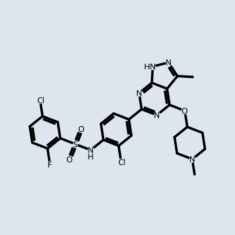 Cc1n[nH]c2nc(-c3ccc(NS(=O)(=O)c4cc(Cl)ccc4F)c(Cl)c3)nc(OC3CCN(C)CC3)c12